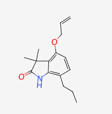 C=CCOc1ccc(CCC)c2c1C(C)(C)C(=O)N2